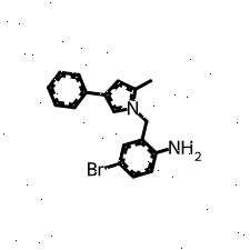 Cc1cc(-c2ccccc2)cn1Cc1cc(Br)ccc1N